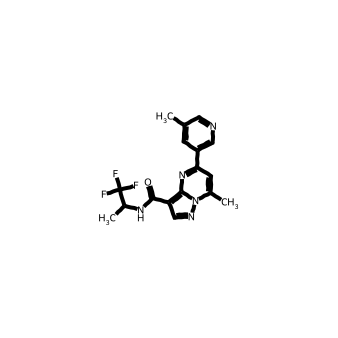 Cc1cncc(-c2cc(C)n3ncc(C(=O)NC(C)C(F)(F)F)c3n2)c1